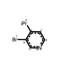 CC(C)c1ccncc1Br